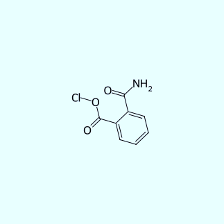 NC(=O)c1ccccc1C(=O)OCl